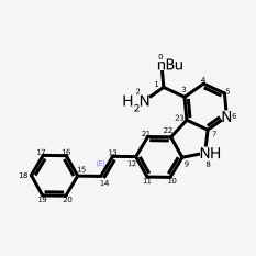 CCCCC(N)c1ccnc2[nH]c3ccc(/C=C/c4ccccc4)cc3c12